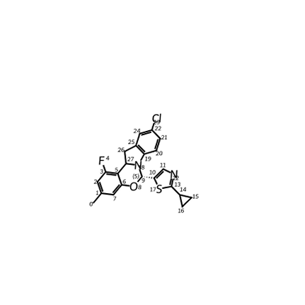 Cc1cc(F)c2c(c1)O[C@@H](c1cnc(C3CC3)s1)N1c3ccc(Cl)cc3CC21